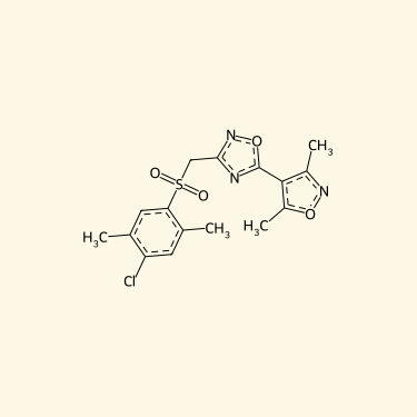 Cc1cc(S(=O)(=O)Cc2noc(-c3c(C)noc3C)n2)c(C)cc1Cl